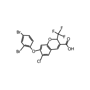 O=C(O)C1=Cc2cc(Cl)c(Oc3ccc(Br)cc3Br)cc2OC1C(F)(F)F